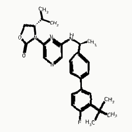 CC(C)[C@H]1COC(=O)N1c1cncc(N[C@@H](C)c2ccc(-c3ccc(F)c(C(C)(C)C)c3)cc2)n1